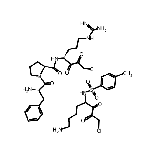 Cc1ccc(S(=O)(=O)NC(CCCCN)C(=O)C(=O)CCl)cc1.N=C(N)NCCC[C@H](NC(=O)[C@@H]1CCCN1C(=O)[C@H](N)Cc1ccccc1)C(=O)C(=O)CCl